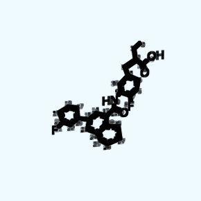 CCC(=Cc1ccc(F)c(NC(=O)c2cc(-c3cccc(F)c3)cc3ccccc23)c1)C(=O)O